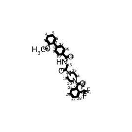 COc1ccccc1-c1ccc(C(=O)NCC(=O)N2CCN(C(=O)c3ccccc3C(F)(F)F)CC2)cc1